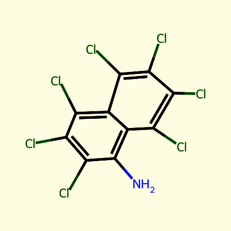 Nc1c(Cl)c(Cl)c(Cl)c2c(Cl)c(Cl)c(Cl)c(Cl)c12